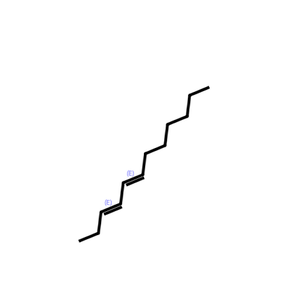 CC/C=C/C=C/CCCCCC